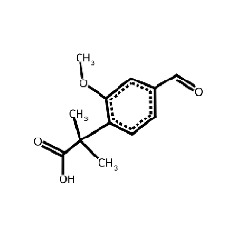 COc1cc(C=O)ccc1C(C)(C)C(=O)O